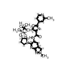 Cc1cc(-c2nc(C(=O)Nc3cc4cn(C)nc4nc3N3CC[C@H](O[Si](C)(C)C(C)(C)C)C3)co2)ccn1